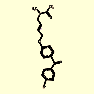 CN(C/C=C/COc1ccc(C(=O)c2ccc(Br)cc2)cc1)C(=O)C(F)(F)F